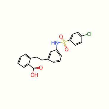 O=C(O)c1ccccc1CCc1cccc(NS(=O)(=O)c2ccc(Cl)cc2)c1